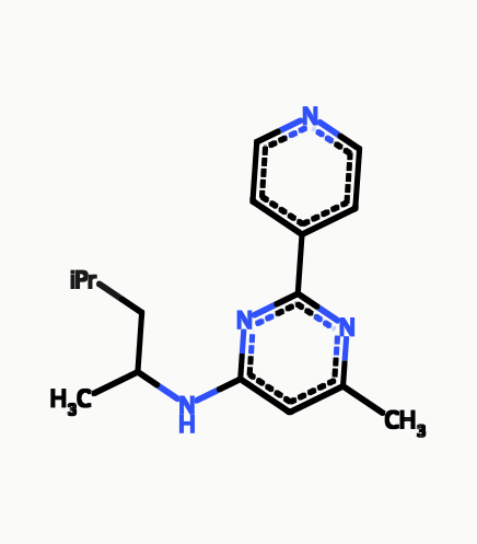 Cc1cc(NC(C)CC(C)C)nc(-c2ccncc2)n1